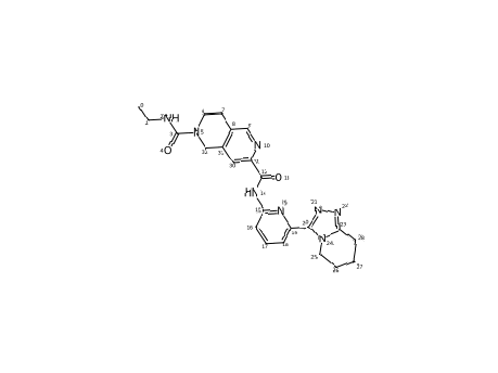 CCNC(=O)N1CCc2cnc(C(=O)Nc3cccc(-c4nnc5n4CCCC5)n3)cc2C1